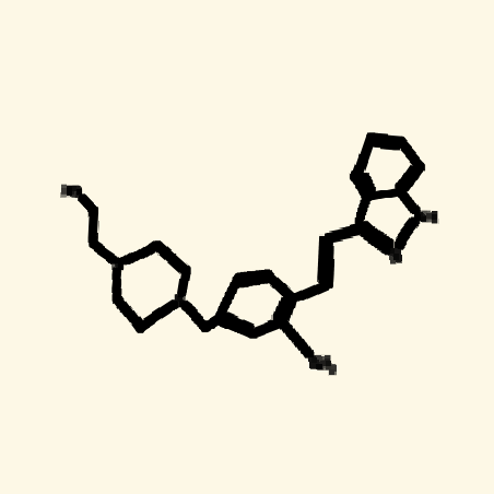 Nc1cc(CN2CCN(CCO)CC2)ccc1C=Cc1n[nH]c2ccccc12